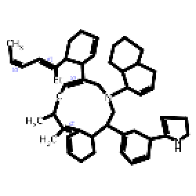 C/C=C\C=C(/CC)C1CCC=CC1/C1=C/CC(C)/C(C)=C2\C=CCCC2C(C2=CC=CC(C3=CCCN3)C2)CN(C2C=CCC3CCCCC32)C1